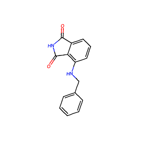 O=C1NC(=O)c2c(NCc3ccccc3)cccc21